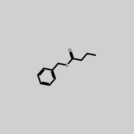 CCCC(=O)SCc1ccccc1